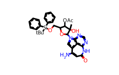 CC(=O)OC1C(CO[Si](c2ccccc2)(c2ccccc2)C(C)(C)C)OC(n2cc3c4c(ncnc42)NC(=O)C=C3N)C1(C)O